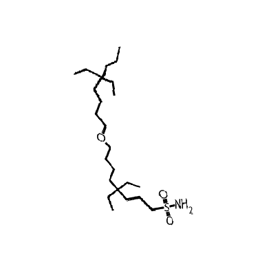 CCCC(CC)(CC)CCCCOCCCCC(CC)(CC)CCCS(N)(=O)=O